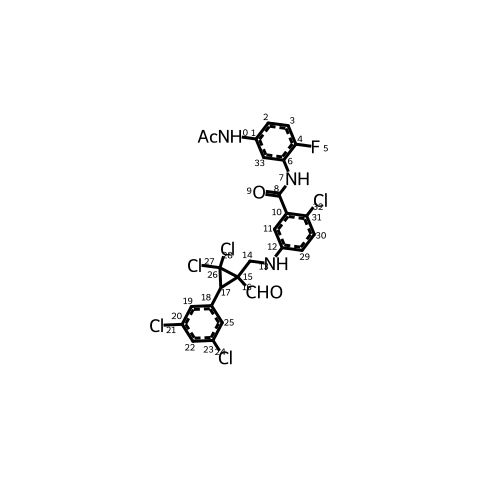 CC(=O)Nc1ccc(F)c(NC(=O)c2cc(NCC3(C=O)C(c4cc(Cl)cc(Cl)c4)C3(Cl)Cl)ccc2Cl)c1